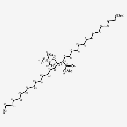 CCCCCCCCCCCCCCCCCCCCCCCC[C@@H](C(=O)OC)[C@@H](CCCCCCCCCCCCCCBr)O[Si](C)(C)C(C)(C)C